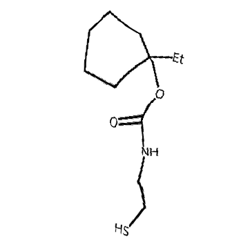 CCC1(OC(=O)NCCS)CCCCC1